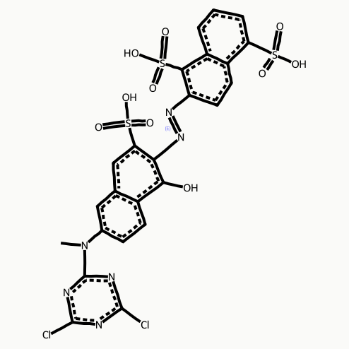 CN(c1ccc2c(O)c(/N=N/c3ccc4c(S(=O)(=O)O)cccc4c3S(=O)(=O)O)c(S(=O)(=O)O)cc2c1)c1nc(Cl)nc(Cl)n1